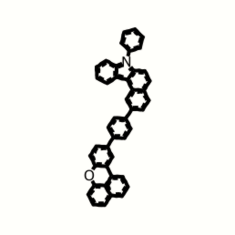 c1ccc(-n2c3ccccc3c3c4cc(-c5ccc(-c6ccc7c(c6)-c6cccc8cccc(c68)O7)cc5)ccc4ccc32)cc1